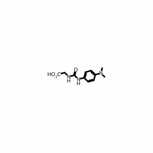 CN(C)c1ccc(NC(=O)NCC(=O)O)cc1